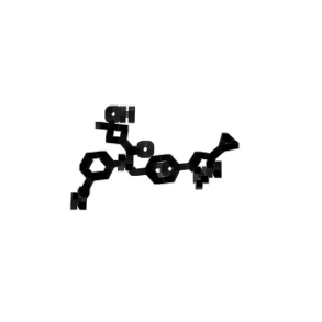 Cn1nc(C2CC2)cc1C12CCC(CN(C(=O)C3CC(C)(O)C3)c3cccc(C#N)c3)(CC1)CC2